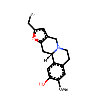 COc1cc2c(cc1O)[C@@H]1Cc3oc(CC(C)C)cc3CN1CC2